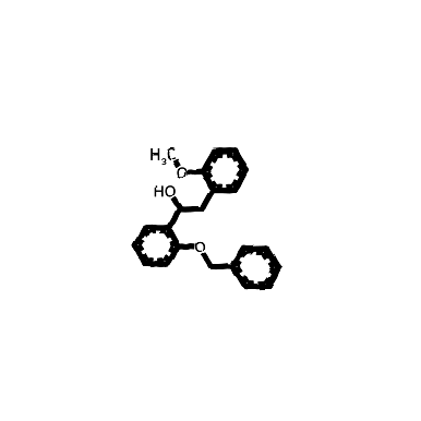 COc1ccccc1CC(O)c1ccccc1OCc1ccccc1